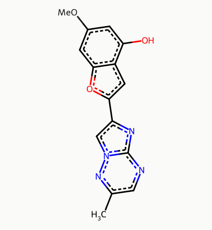 COc1cc(O)c2cc(-c3cn4nc(C)cnc4n3)oc2c1